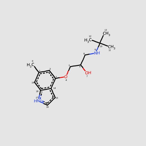 Cc1cc(OCC(O)CNC(C)(C)C)c2cc[nH]c2c1